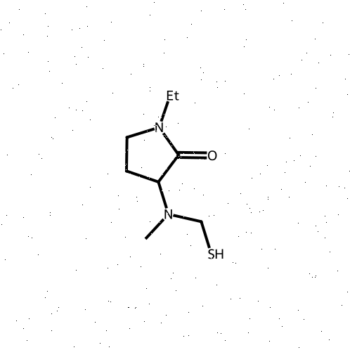 CCN1CCC(N(C)CS)C1=O